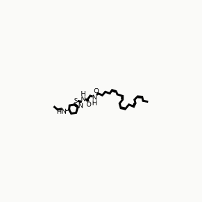 CC/C=C\C/C=C\C/C=C\C/C=C\C/C=C\CCCC(=O)NCC(=O)Nc1nc2c(s1)C[C@H](NCCC)CC2